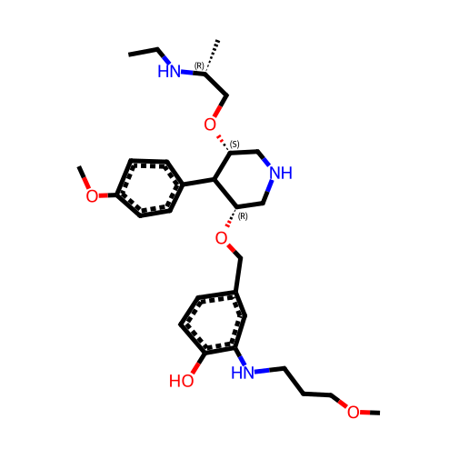 CCN[C@H](C)CO[C@@H]1CNC[C@H](OCc2ccc(O)c(NCCCOC)c2)C1c1ccc(OC)cc1